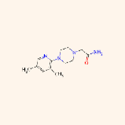 Cc1cnc(N2CCN(CC(N)=O)CC2)c(C)c1